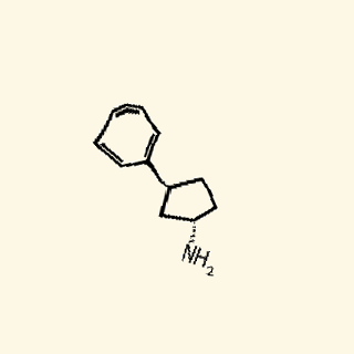 N[C@H]1CC[C@H](c2ccccc2)C1